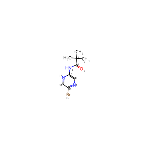 CC(C)(C)C(=O)Nc1cnc(Br)cn1